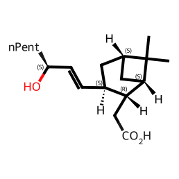 CCCCC[C@H](O)C=C[C@H]1C[C@H]2C[C@@H]([C@@H]1CC(=O)O)C2(C)C